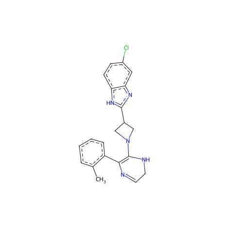 Cc1ccccc1C1=C(N2CC(c3nc4cc(Cl)ccc4[nH]3)C2)NCC=N1